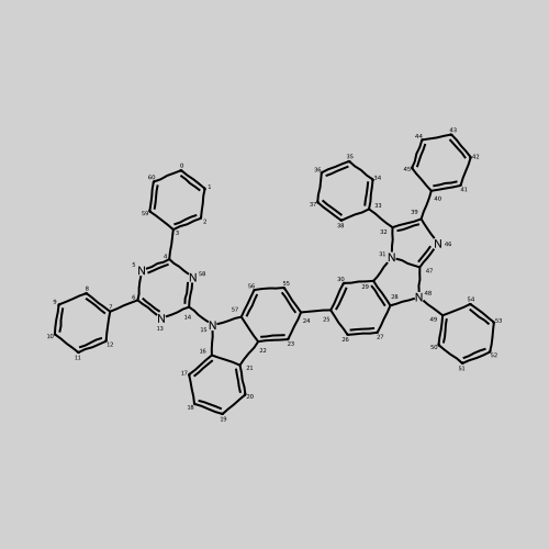 c1ccc(-c2nc(-c3ccccc3)nc(-n3c4ccccc4c4cc(-c5ccc6c(c5)n5c(-c7ccccc7)c(-c7ccccc7)nc5n6-c5ccccc5)ccc43)n2)cc1